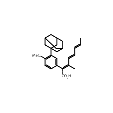 CC=CC=CC(C)=C(C(=O)O)c1ccc(OC)c(C23CC4CC(CC(C4)C2)C3)c1